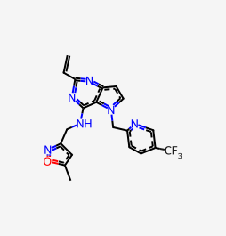 C=Cc1nc(NCc2cc(C)on2)c2c(ccn2Cc2ccc(C(F)(F)F)cn2)n1